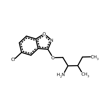 CCC(C)C(N)COc1noc2ccc(Cl)cc12